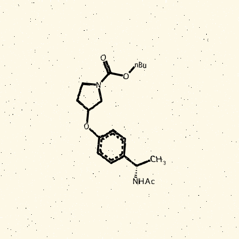 CCCCOC(=O)N1CCC(Oc2ccc([C@H](C)NC(C)=O)cc2)C1